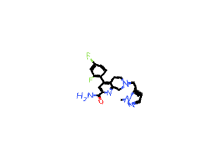 Cn1nccc1CN1CCc2c(-c3ccc(F)cc3F)cc(C(N)=O)nc2C1